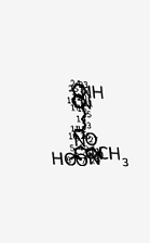 Cn1cc(C(CC(=O)O)N2CCC(CCCc3ccc4c(n3)NCCC4)C2=O)cn1